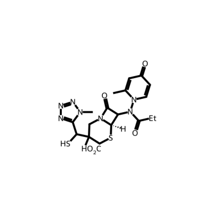 CCC(=O)N(C1C(=O)N2CC(C(=O)O)(C(S)c3nnnn3C)CS[C@H]12)n1ccc(=O)cc1C